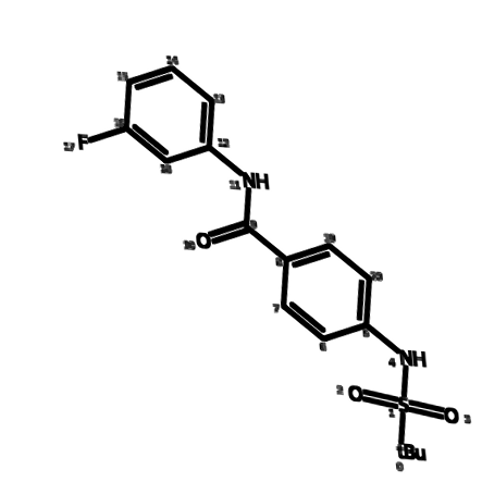 CC(C)(C)S(=O)(=O)Nc1ccc(C(=O)Nc2cccc(F)c2)cc1